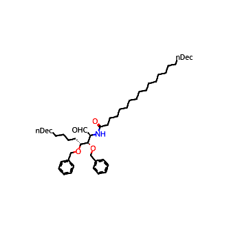 CCCCCCCCCCCCCCCCCCCCCCCCCC(=O)N[C@H](C=O)[C@H](OCc1ccccc1)[C@@H](CCCCCCCCCCCCCC)OCc1ccccc1